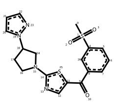 CS(=O)(=O)c1cccc(C(=O)c2cnc(N3CCC(n4cccn4)C3)s2)c1